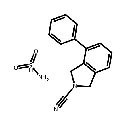 N#CN1Cc2cccc(-c3ccccc3)c2C1.N[SH](=O)=O